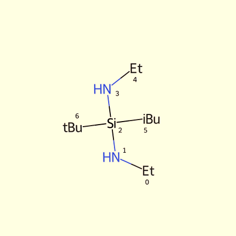 CCN[Si](NCC)(C(C)CC)C(C)(C)C